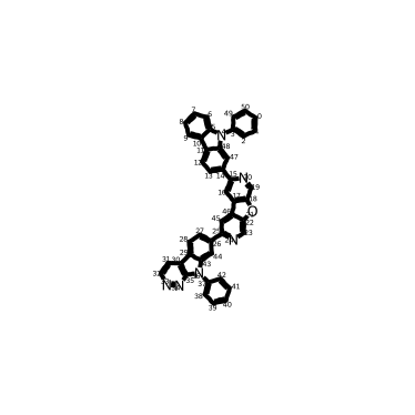 c1ccc(-n2c3ccccc3c3ccc(-c4cc5c(cn4)oc4cnc(-c6ccc7c8ccnnc8n(-c8ccccc8)c7c6)cc45)cc32)cc1